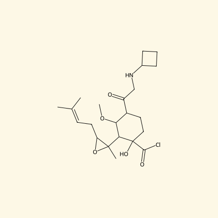 COC1C(C(=O)CNC2CCC2)CCC(O)(C(=O)Cl)C1C1(C)OC1CC=C(C)C